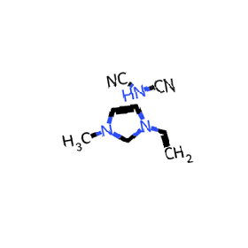 C=CN1C=CN(C)C1.N#CNC#N